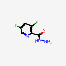 NNC(=O)c1ncc(F)cc1F